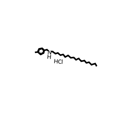 CCCCCCCCCCCCCCCCCCNCc1ccc(C)cc1.Cl